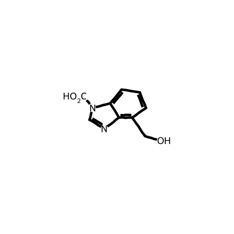 O=C(O)n1cnc2c(CO)cccc21